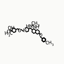 Cc1ccc(COC2CCC3C(CCC4C(C5CCN(CCOCC6CCC(C)(C(=O)O)CC6)CC5)NC(C)NC34)C2)cc1